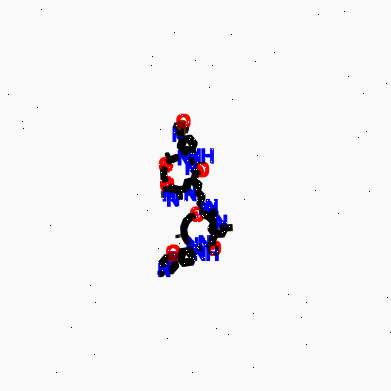 Cc1cc2cc(n1)-c1cnn(CCc3cc4cc(n3)-c3cnn(C)c3OCCO[C@@H](C)CN3/C(=N/C4=O)Nc4ccc(N=S(C)(C)=O)cc43)c1OCCC[C@@H](C)CN1/C(=N/C2=O)Nc2ccc(P3(=O)CCN(C)CC3)cc21